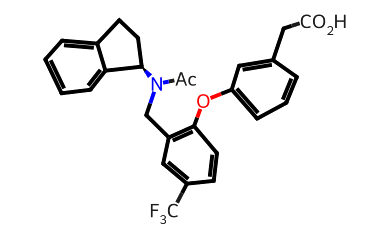 CC(=O)N(Cc1cc(C(F)(F)F)ccc1Oc1cccc(CC(=O)O)c1)[C@@H]1CCc2ccccc21